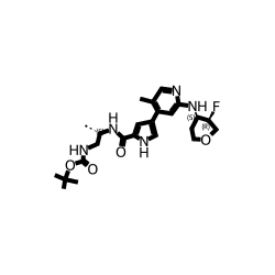 Cc1cnc(N[C@H]2CCOC[C@@H]2F)cc1-c1c[nH]c(C(=O)N[C@@H](C)CNC(=O)OC(C)(C)C)c1